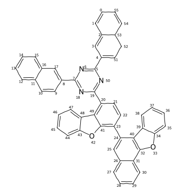 C1=CC2=CC(c3nc(-c4ccc5ccccc5c4)nc(-c4ccc(-c5cc6ccccc6c6oc7ccccc7c56)c5oc6ccccc6c45)n3)=CCC2C=C1